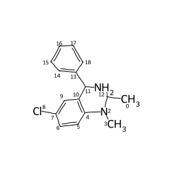 CCN(C)c1ccc(Cl)cc1C(N)c1ccccc1